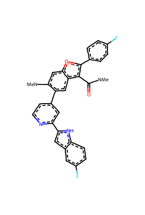 CNC(=O)c1c(-c2ccc(F)cc2)oc2cc(NC)c(-c3ccnc(-c4cc5cc(F)ccc5[nH]4)c3)cc12